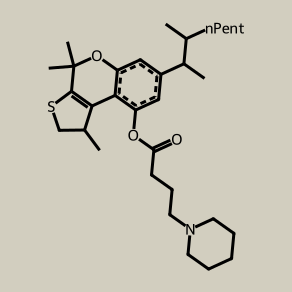 CCCCCC(C)C(C)c1cc(OC(=O)CCCN2CCCCC2)c2c(c1)OC(C)(C)C1=C2C(C)CS1